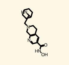 O=C(NO)c1cnc2c(c1)CCN(CC1NC3CCC1CC3)C2